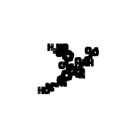 COC(=O)CCNC(=O)c1cncc(-c2cc3nn(CCC(C)(C)O)cc3cc2NC(=O)c2cccc(S(N)(=O)=O)c2)c1